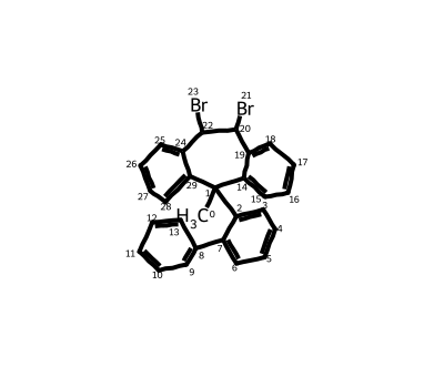 CC1(c2ccccc2-c2ccccc2)c2ccccc2C(Br)C(Br)c2ccccc21